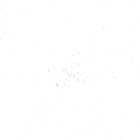 CC1(C)c2ccccc2C2(c3ccccc3Sc3ccc(-c4nc(-c5ccccc5)nc(-c5ccc6c(c5)oc5ccccc56)n4)cc32)c2ccccc21